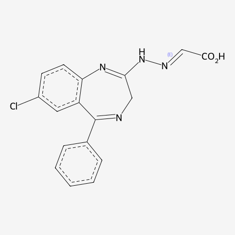 O=C(O)/C=N/NC1=Nc2ccc(Cl)cc2C(c2ccccc2)=NC1